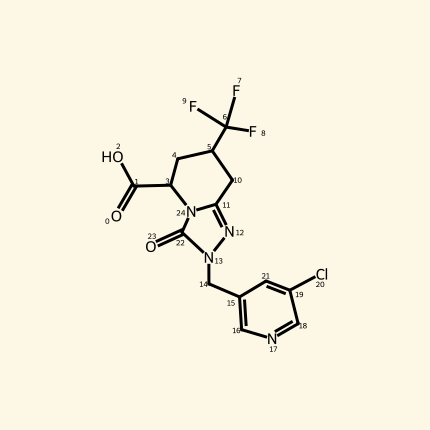 O=C(O)C1CC(C(F)(F)F)Cc2nn(Cc3cncc(Cl)c3)c(=O)n21